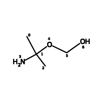 CC(C)(N)OCO